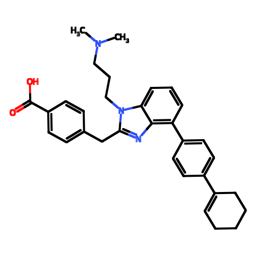 CN(C)CCCn1c(Cc2ccc(C(=O)O)cc2)nc2c(-c3ccc(C4=CCCCC4)cc3)cccc21